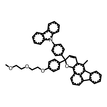 COCCOCCOc1ccc(C2(c3ccc(-n4c5ccccc5c5ccccc54)cc3)C=Cc3c(C)c4c5c(cccc5c3O2)-c2ccccc2-4)cc1